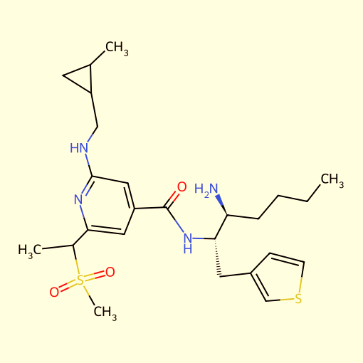 CCCC[C@H](N)[C@H](Cc1ccsc1)NC(=O)c1cc(NCC2CC2C)nc(C(C)S(C)(=O)=O)c1